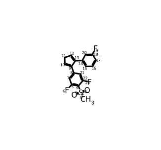 CS(=O)(=O)c1c(F)cc(C2=CCC=C2c2cccc(F)c2)cc1F